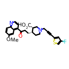 COc1ccc2nccc(C(=O)CC[C@H]3CCN(CC#Cc4cc(F)cs4)C[C@H]3C(=O)O)c2c1